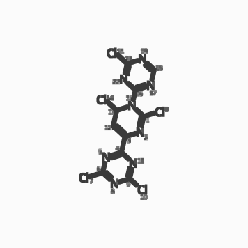 ClC1=NC(c2nc(Cl)nc(Cl)n2)=[C]C(Cl)N1c1ncnc(Cl)n1